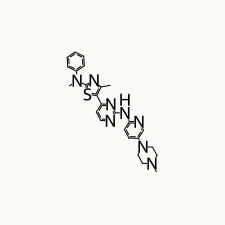 Cc1nc(N(C)c2ccccc2)sc1-c1ccnc(Nc2ccc(N3CCN(C)CC3)cn2)n1